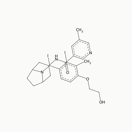 Cc1cncc(C(=O)NC2CC3CCC(C2)N3C(I)c2ccc(OCCO)c(C)c2I)c1